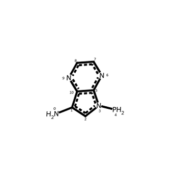 Nc1cn(P)c2nccnc12